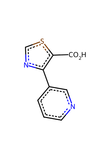 O=C(O)c1scnc1-c1cccnc1